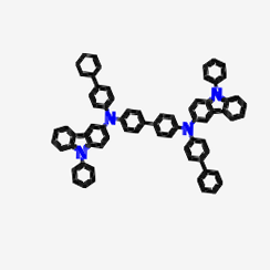 C1=CC(c2ccc(N(c3ccc(-c4ccc(N(c5ccc(-c6ccccc6)cc5)c5ccc6c(c5)c5ccccc5n6-c5ccccc5)cc4)cc3)c3ccc4c(c3)c3ccccc3n4-c3ccccc3)cc2)=CCC1